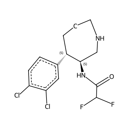 O=C(N[C@@H]1CNCCC[C@H]1c1ccc(Cl)c(Cl)c1)C(F)F